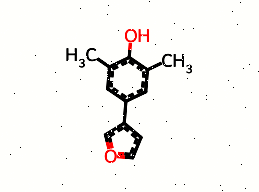 Cc1cc(-c2ccoc2)cc(C)c1O